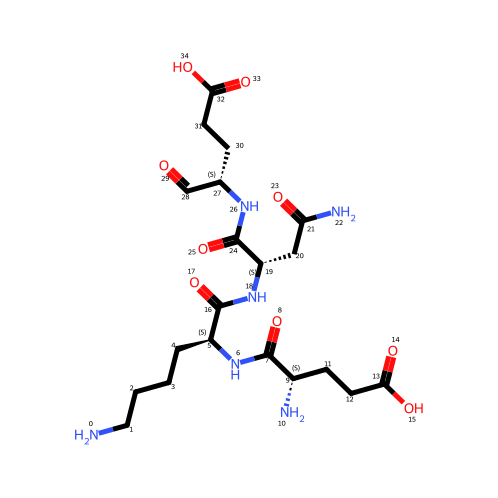 NCCCC[C@H](NC(=O)[C@@H](N)CCC(=O)O)C(=O)N[C@@H](CC(N)=O)C(=O)N[C@H]([C]=O)CCC(=O)O